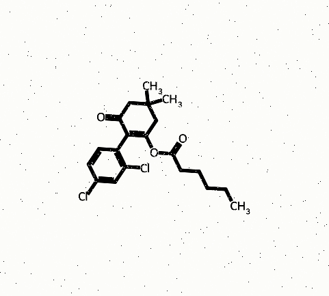 CCCCCC(=O)OC1=C(c2ccc(Cl)cc2Cl)C(=O)CC(C)(C)C1